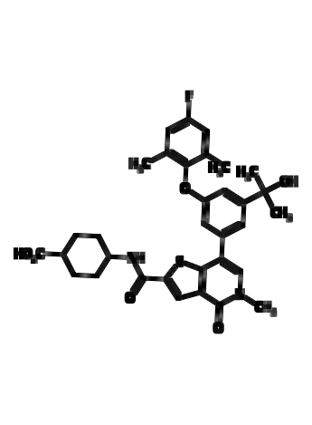 Cc1cc(F)cc(C)c1Oc1cc(-c2cn(C)c(=O)c3cc(C(=O)NC4CCC(C(=O)O)CC4)sc23)cc(C(C)(C)O)c1